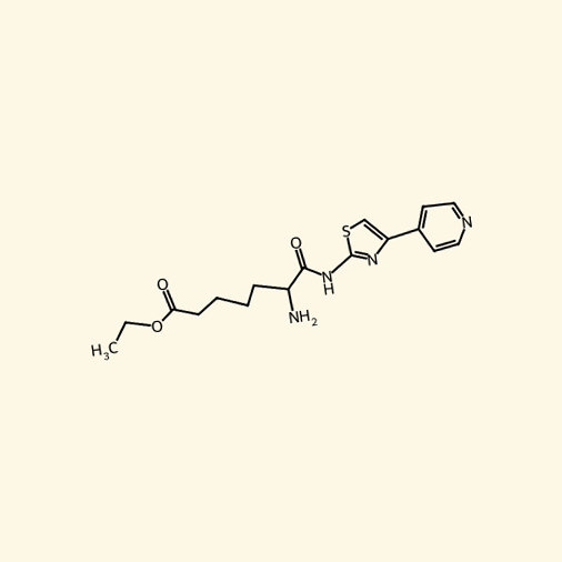 CCOC(=O)CCCCC(N)C(=O)Nc1nc(-c2ccncc2)cs1